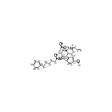 C=CC[N@@+]1(C)CC[C@@]2(c3cccc(OC)c3)C[C@@H](NC(=O)CCCCCc3ccccc3)CCC2(OC(C)=O)C1